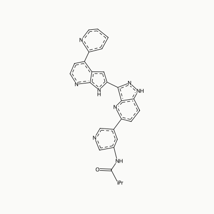 CC(C)C(=O)Nc1cncc(-c2ccc3[nH]nc(-c4cc5c(-c6ccccn6)ccnc5[nH]4)c3n2)c1